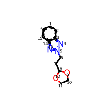 c1ccc2nn(CCC3OCCO3)nc2c1